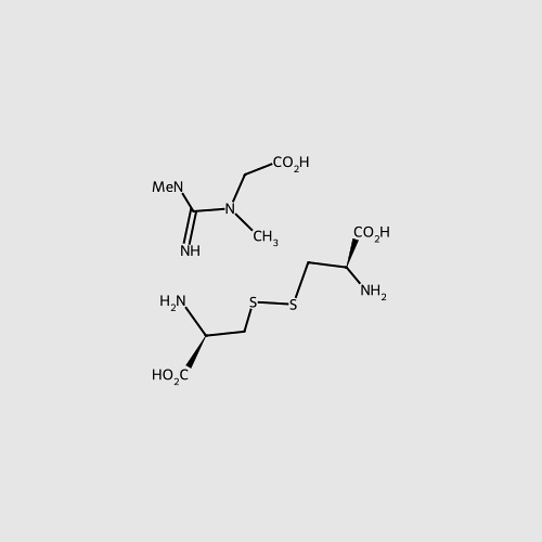 CNC(=N)N(C)CC(=O)O.N[C@@H](CSSC[C@H](N)C(=O)O)C(=O)O